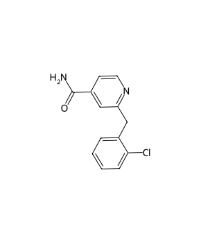 NC(=O)c1ccnc(Cc2ccccc2Cl)c1